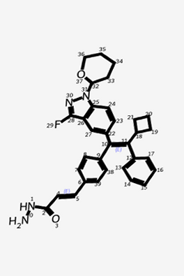 NNC(=O)/C=C/c1ccc(/C(=C(\c2ccccc2)C2CCC2)c2ccc3c(c2)c(F)nn3C2CCCCO2)cc1